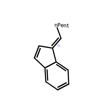 CCCCC/C=C1\C=Cc2ccccc21